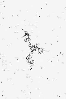 C=CCON1C(C)(C)CC2(CC1(C)C)OCC(COc1nc(NC3CC(C)(C)N(C)C(C)(C)C3)nc(OCC3COC4(CC(C)(C)N(OCC=C)C(C)(C)C4)O3)n1)O2